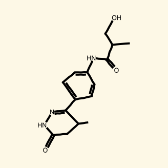 CC(CO)C(=O)Nc1ccc(C2=NNC(=O)CC2C)cc1